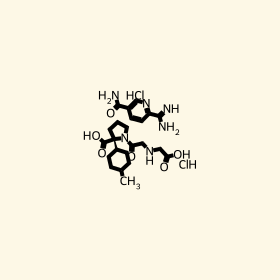 CC1CCC([C@@]2(C(=O)O)CCCN2C(=O)CNCC(=O)O)CC1.Cl.Cl.N=C(N)c1ccc(C(N)=O)cn1